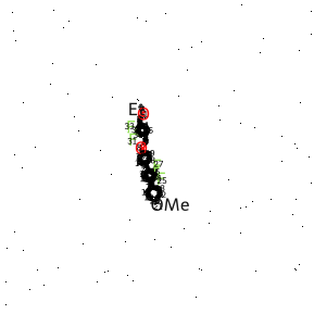 CCOCc1ccc(COC2CCC(c3ccc(C4CCC(OC)CC4)c(F)c3F)CC2)c(F)c1F